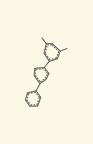 Cc1cc(C)cc(-c2ccc(-c3ccccc3)cc2)c1